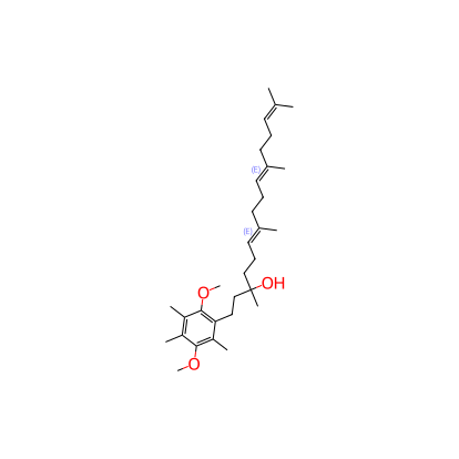 COc1c(C)c(C)c(OC)c(CCC(C)(O)CC/C=C(\C)CC/C=C(\C)CCC=C(C)C)c1C